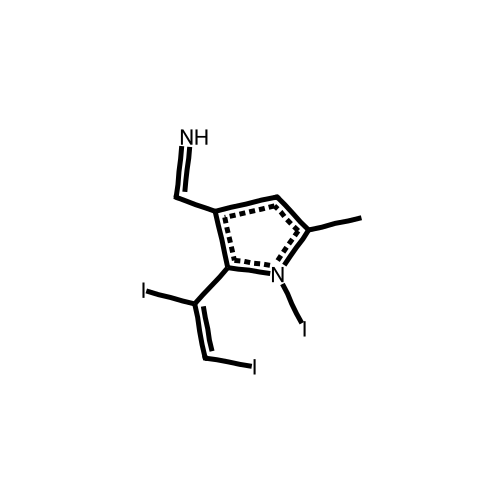 Cc1cc(C=N)c(/C(I)=C\I)n1I